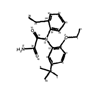 CCOc1ccc(C(C)(C)C)cc1N(C(=O)C(N)=O)c1ccccc1CC